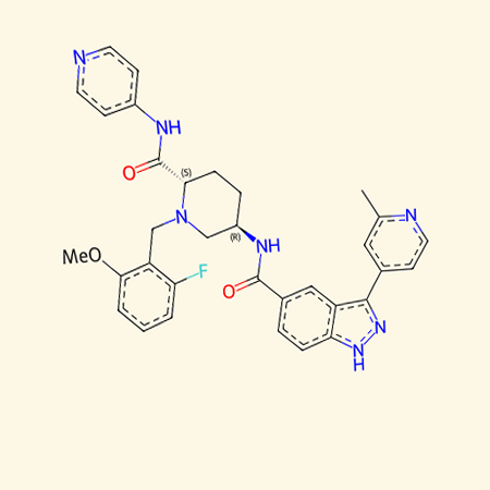 COc1cccc(F)c1CN1C[C@H](NC(=O)c2ccc3[nH]nc(-c4ccnc(C)c4)c3c2)CC[C@H]1C(=O)Nc1ccncc1